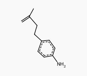 C=C(C)CCc1ccc(N)cc1